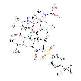 C/C(=C\[C@H](C(C)C)N(C)C(=O)C(C)(C)[C@H](C)NC(=O)[C@](C)(c1ccccc1)C(C)N(C)C(=O)O)C(=O)NS(=O)(=O)c1ccc(C2(N)CC2)cc1